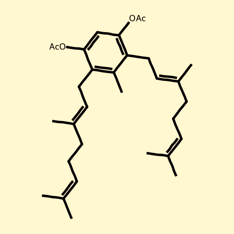 CC(=O)Oc1cc(OC(C)=O)c(C/C=C(\C)CCC=C(C)C)c(C)c1C/C=C(\C)CCC=C(C)C